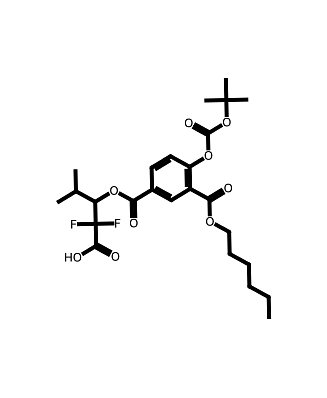 CCCCCCOC(=O)c1cc(C(=O)OC(C(C)C)C(F)(F)C(=O)O)ccc1OC(=O)OC(C)(C)C